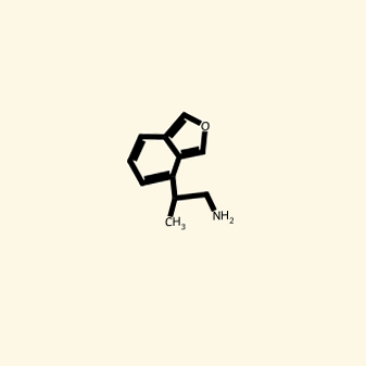 CC(CN)c1cccc2cocc12